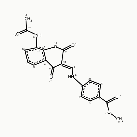 COC(=O)c1ccc(NC=C2C(=O)Oc3c(NC(C)=O)cccc3C2=O)cc1